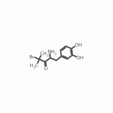 CC(C)(Br)C(=O)C(N)Cc1ccc(O)c(O)c1